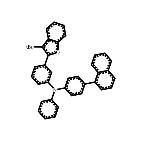 CC(C)(C)c1c(-c2cccc(N(c3ccccc3)c3ccc(-c4cccc5ccccc45)cc3)c2)oc2ccccc12